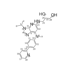 CC(C)n1cnc2c(N(C)c3ccc(-c4ccccn4)cc3)cc(NC[C@H](O)CO)nc21